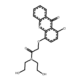 O=C(COc1ccc(Cl)c2c(=O)c3ccccc3sc12)N(CCO)CCO